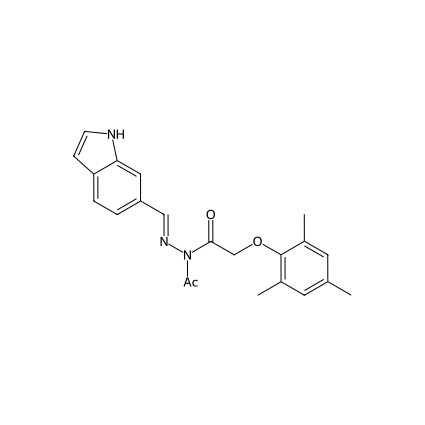 CC(=O)N(N=Cc1ccc2cc[nH]c2c1)C(=O)COc1c(C)cc(C)cc1C